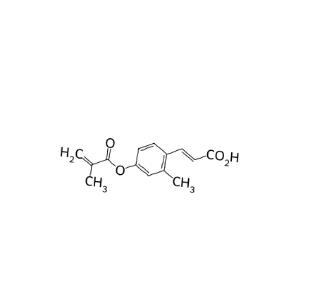 C=C(C)C(=O)Oc1ccc(C=CC(=O)O)c(C)c1